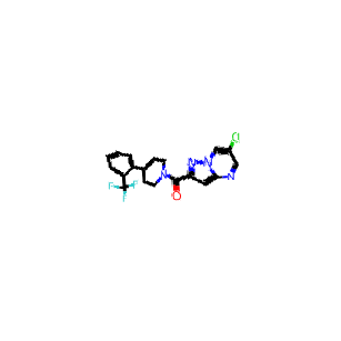 O=C(c1cc2ncc(Cl)cn2n1)N1CC=C(c2ccccc2C(F)(F)F)CC1